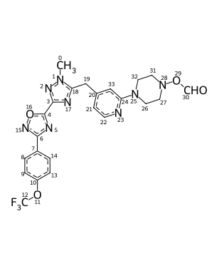 Cn1nc(-c2nc(-c3ccc(OC(F)(F)F)cc3)no2)nc1Cc1ccnc(N2CCN(OC=O)CC2)c1